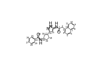 O=C(Cc1cccc2ccccc12)Nc1cc(C2CCC(NC(=O)c3ccccc3)C2)n[nH]1